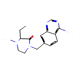 CC(C)CC1C(=O)N(Cc2ccc3c(N)ncnc3c2)CCN1C(=O)O